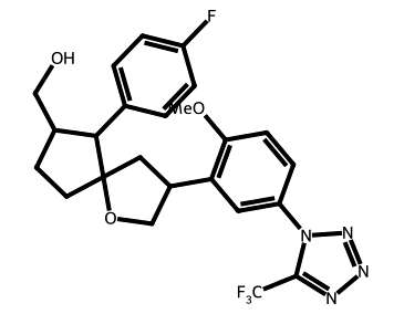 COc1ccc(-n2nnnc2C(F)(F)F)cc1C1COC2(CCC(CO)C2c2ccc(F)cc2)C1